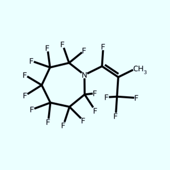 CC(=C(F)N1C(F)(F)C(F)(F)C(F)(F)C(F)(F)C(F)(F)C1(F)F)C(F)(F)F